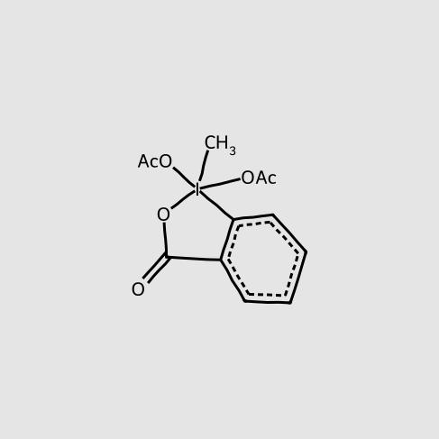 CC(=O)OI1(C)(OC(C)=O)OC(=O)c2ccccc21